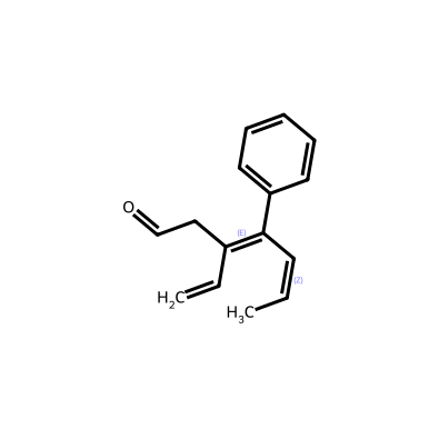 C=C/C(CC=O)=C(\C=C/C)c1ccccc1